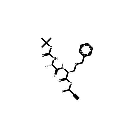 C#CC(I)OC(=O)[C@H](CSCc1ccccc1)NC(=O)[C@H](C)NC(=O)OC(C)(C)C